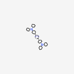 C=C(/C=C\C(=C/C)c1ccc(N(c2ccccc2)c2ccccc2)cc1)c1ccc(N(c2ccccc2)c2ccccc2)cc1